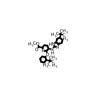 COC(=O)c1ccc(Nc2nc3ccc(C(C)(C)C)cc3[nH]2)c(Oc2ccccc2C(C)(C)C)n1